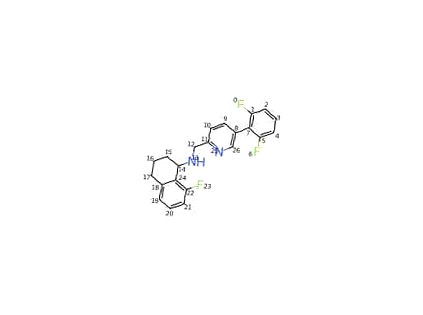 Fc1cccc(F)c1-c1ccc(CNC2CCCc3cccc(F)c32)nc1